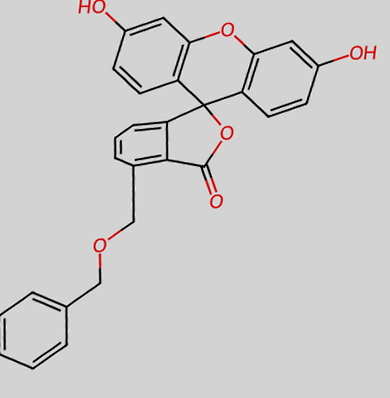 O=C1OC2(c3ccc(O)cc3Oc3cc(O)ccc32)c2cccc(COCc3ccccc3)c21